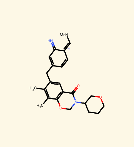 CN/C=C1/C=CC(Cc2cc3c(c(C)c2C)OCN(C2CCCOC2)C3=O)=CC1=N